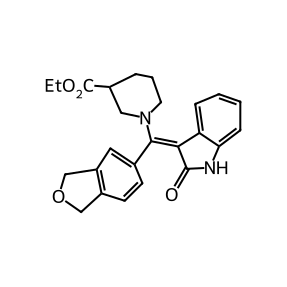 CCOC(=O)C1CCCN(C(=C2C(=O)Nc3ccccc32)c2ccc3c(c2)COC3)C1